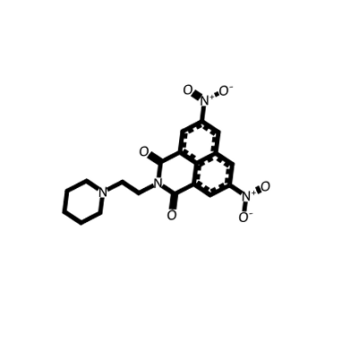 O=C1c2cc([N+](=O)[O-])cc3cc([N+](=O)[O-])cc(c23)C(=O)N1CCN1CCCCC1